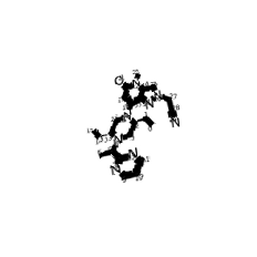 CC[C@H]1CN(C(C)c2ncccn2)[C@H](CC)CN1c1cc(=O)n(C)c2cn(CC#N)nc12